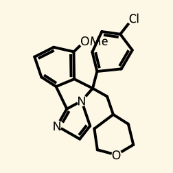 COc1cccc2c1C(CC1CCOCC1)(c1ccc(Cl)cc1)n1ccnc1-2